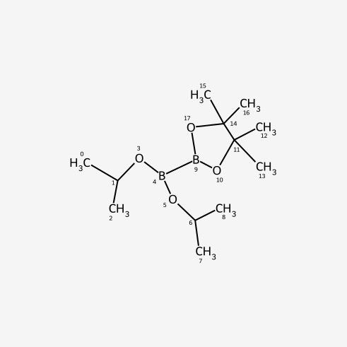 CC(C)OB(OC(C)C)B1OC(C)(C)C(C)(C)O1